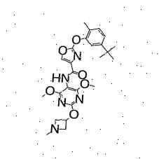 COc1nc(OC2CN(C)C2)nc(OC)c1NC(=O)c1coc(Oc2cc(C(C)(C)C)ccc2C)n1